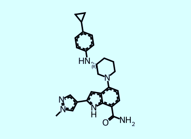 Cn1cc(-c2cc3c(N4CCC[C@@H](Nc5ccc(C6CC6)cc5)C4)ccc(C(N)=O)c3[nH]2)cn1